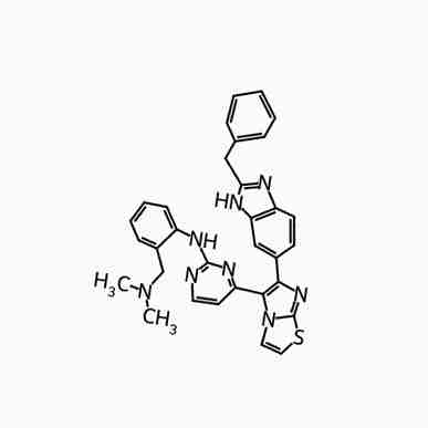 CN(C)Cc1ccccc1Nc1nccc(-c2c(-c3ccc4nc(Cc5ccccc5)[nH]c4c3)nc3sccn23)n1